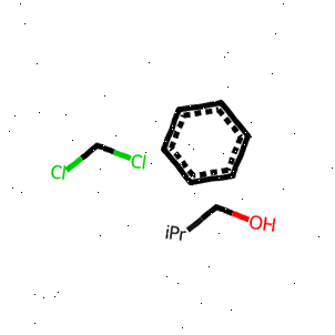 CC(C)CO.ClCCl.c1ccccc1